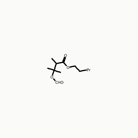 CC(C)CCOC(=O)C(C)C(C)(C)O[C]=O